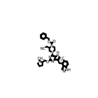 CN1CCCC1COc1nc(N2CCN(C(=O)OCc3ccccc3)C(CC#N)C2)c2[nH]cc(Cc3c(C(F)(F)F)ccc4[nH]ncc34)c2n1